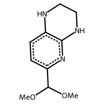 COC(OC)c1ccc2c(n1)NCCN2